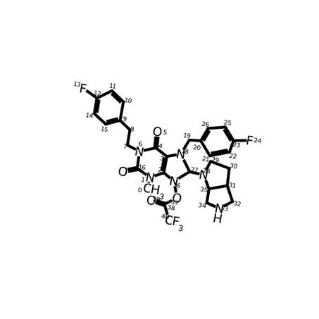 Cn1c2c(c(=O)n(CCc3ccc(F)cc3)c1=O)N(Cc1ccc(F)cc1)C(N1CCC3CNCC31)N2OC(=O)C(F)(F)F